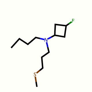 CCCCN(CCCSC)C1CC(F)C1